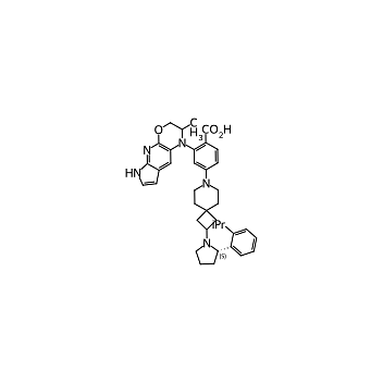 CC(C)c1ccccc1[C@@H]1CCCN1C1CC2(CCN(c3ccc(C(=O)O)c(N4c5cc6cc[nH]c6nc5OCC4C)c3)CC2)C1